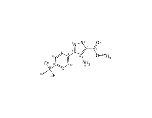 COC(=O)c1snc(-c2ccc(C(F)(F)F)cc2)c1N